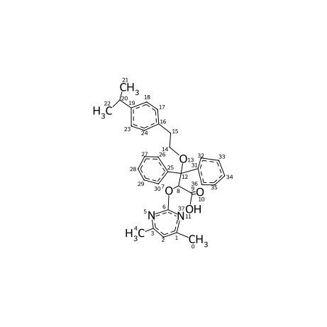 Cc1cc(C)nc(OC(C(=O)O)C(OCCc2ccc(C(C)C)cc2)(c2ccccc2)c2ccccc2)n1